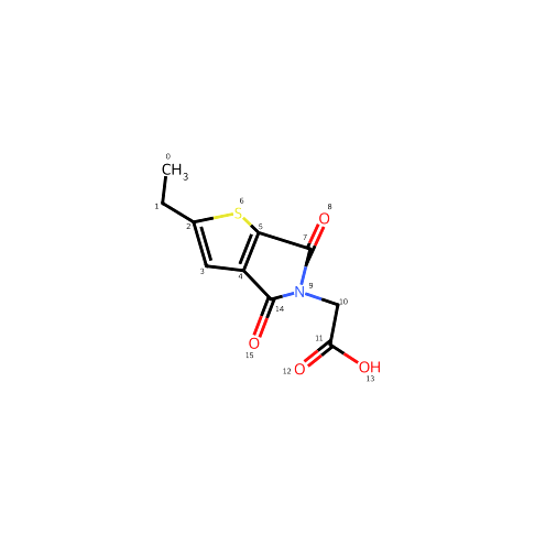 CCc1cc2c(s1)C(=O)N(CC(=O)O)C2=O